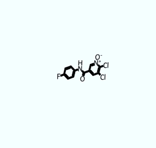 O=C(Nc1ccc(F)cc1)c1cc(Cl)c(Cl)[n+]([O-])c1